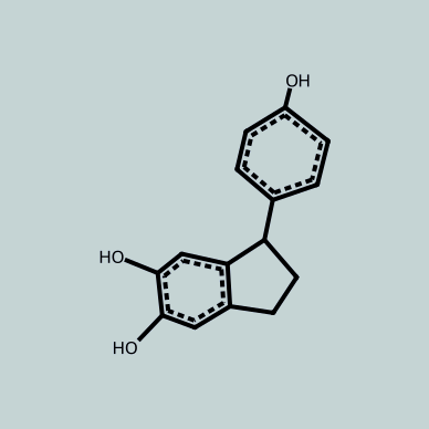 Oc1ccc(C2CCc3cc(O)c(O)cc32)cc1